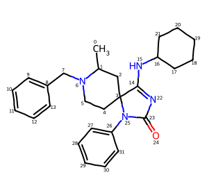 CC1CC2(CCN1Cc1ccccc1)C(NC1CCCCC1)=NC(=O)N2c1ccccc1